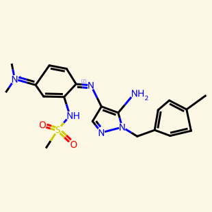 Cc1ccc(Cn2ncc(/N=C3/C=CC(=[N+](C)C)C=C3NS(C)(=O)=O)c2N)cc1